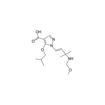 COCNC(C)(C)/C=C/n1ncc(C(=O)O)c1OCC(C)C